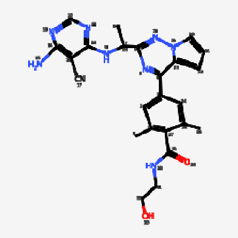 Cc1cc(-c2nc([C@H](C)Nc3ncnc(N)c3C#N)nn3cccc23)cc(C)c1C(=O)NCCO